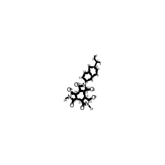 CCC(C)c1ccc2cc(-n3c(=O)c4c5c(=O)n(C)c(=O)c5c5c(=O)n(C)c(=O)c5c4c3=O)ccc2c1